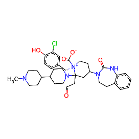 CN1CCC(C2CCN(C3(CC=O)CC(N4CCc5ccccc5NC4=O)CC[N@+]3(Cc3ccc(O)c(Cl)c3)C(=O)[O-])CC2)CC1